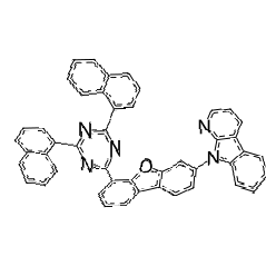 c1ccc2c(-c3nc(-c4cccc5ccccc45)nc(-c4cccc5c4oc4cc(-n6c7ccccc7c7cccnc76)ccc45)n3)cccc2c1